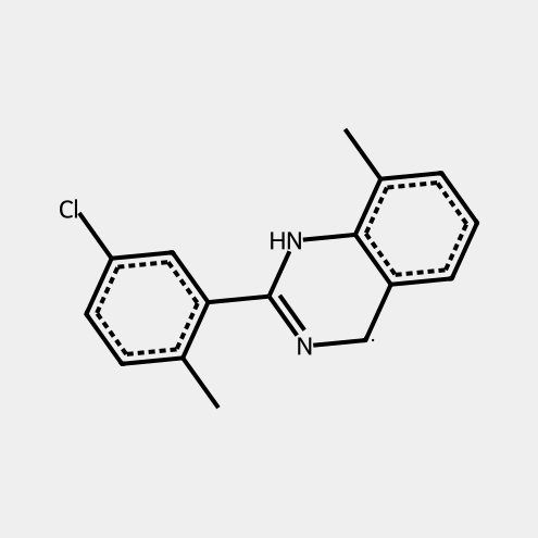 Cc1ccc(Cl)cc1C1=N[CH]c2cccc(C)c2N1